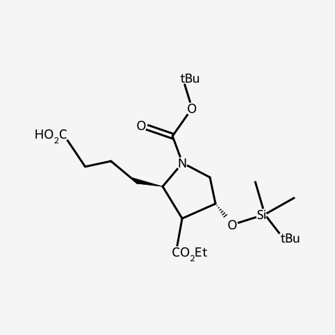 CCOC(=O)C1[C@@H](O[Si](C)(C)C(C)(C)C)CN(C(=O)OC(C)(C)C)[C@@H]1CCCC(=O)O